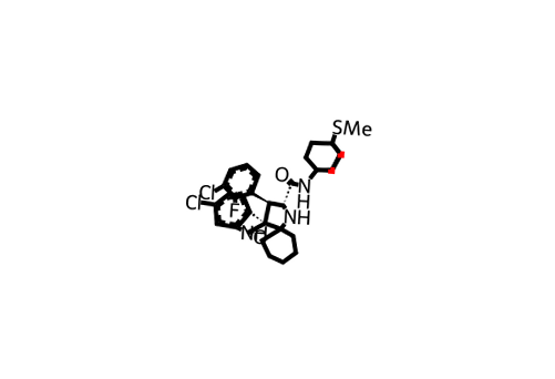 CSC12CCC(NC(=O)[C@@H]3NC4(CCCCC4)[C@@]4(C(=O)Nc5cc(Cl)ccc54)[C@H]3c3cccc(Cl)c3F)(CC1)CC2